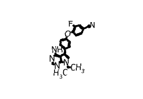 CC(C)n1cc(-c2ccc(Oc3ccc(C#N)cc3F)cc2)c2c(N)ncnc21